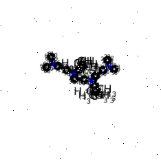 CC1(C)c2cc3c4cc(-c5ccc(N(c6ccccc6)c6ccccc6)cc5)ccc4n(-c4ccc(-c5cccc6c5c5cc7c(cc5n6-c5ccc(-c6ccc(N(c8ccccc8)c8ccccc8)cc6)cc5)C(C)(C)C(C)(C)C7(C)C)cc4)c3cc2C(C)(C)C1(C)C